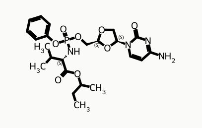 CCC(C)OC(=O)[C@@H](NP(=O)(OC[C@H]1OC[C@@H](n2ccc(N)nc2=O)O1)Oc1ccccc1)C(C)C